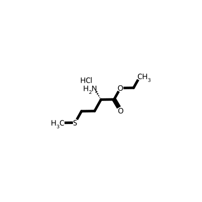 CCOC(=O)[C@@H](N)CCSC.Cl